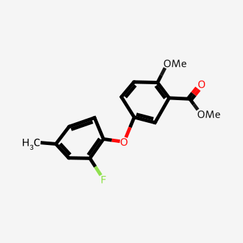 COC(=O)c1cc(Oc2ccc(C)cc2F)ccc1OC